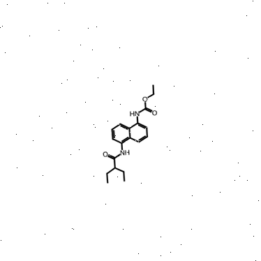 CCOC(=O)Nc1cccc2c(NC(=O)C(CC)CC)cccc12